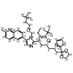 CCN([C@@H](CCCCCC1(c2ncco2)OCCO1)c1ncc(-c2ccc3nc(C)ccc3c2)n1COCC[Si](C)(C)C)[S+]([O-])C(C)(C)C